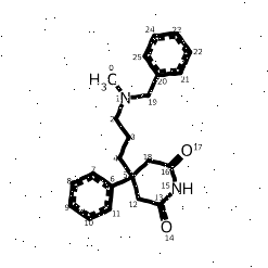 CN(CCCC1(c2ccccc2)CC(=O)NC(=O)C1)Cc1ccccc1